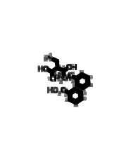 CC(C)CC(C(C)O)C(C)O.O=C(O)c1ccccc1.O=C(O)c1ccccc1